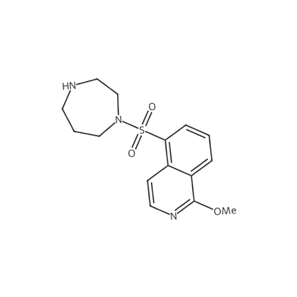 COc1nccc2c(S(=O)(=O)N3CCCNCC3)cccc12